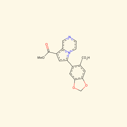 COC(=O)c1cc(-c2cc3c(cc2C(=O)O)OCO3)n2ccncc12